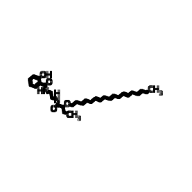 CCC=CCC=CCC=CCC=CCC=CCCOC(CC)C(=O)NCCNC(=O)c1ccccc1O